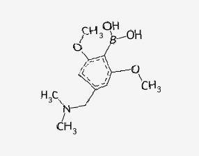 COc1cc(CN(C)C)cc(OC)c1B(O)O